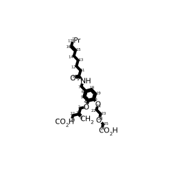 C=C(COc1cc(CNC(=O)CCCC/C=C/C(C)C)ccc1OCCOCC(=O)O)CC(=O)O